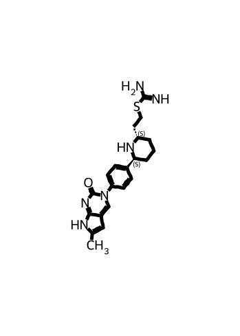 Cc1cc2cn(-c3ccc([C@@H]4CCC[C@@H](CCSC(=N)N)N4)cc3)c(=O)nc2[nH]1